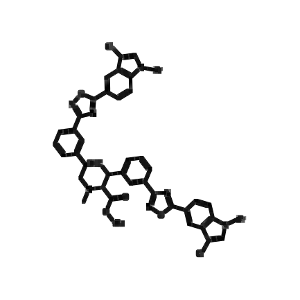 CC(C)n1cc(Cl)c2cc(-c3nc(-c4cccc(CCN(C)C(C(=O)OC(C)(C)C)C(C=O)c5cccc(-c6noc(-c7ccc8c(c7)c(Cl)cn8C(C)C)n6)c5)c4)no3)ccc21